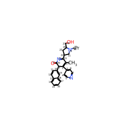 CC1=C(c2ccncc2)C(c2ccc3ccccc3c2)C(=O)N=C1C1CC(CO)N(C(C)C)C1